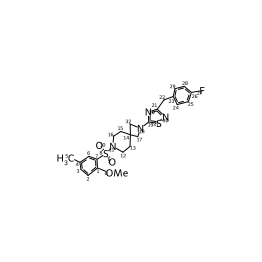 COc1ccc(C)cc1S(=O)(=O)N1CCC2(CC1)CN(c1nc(Cc3ccc(F)cc3)ns1)C2